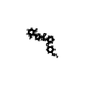 N[C@H]1CC[C@@H](Oc2ncncc2NC(=O)c2csc(-c3c(F)cccc3F)n2)CC1